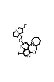 Fc1cnc2c3c(cc(OC[C@@]45CCCN4C[C@H](F)C5)nc13)N1CCCCCC1CO2